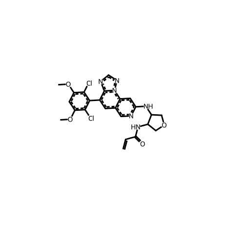 C=CC(=O)NC1COCC1Nc1cc2c(cn1)cc(-c1c(Cl)c(OC)cc(OC)c1Cl)c1ncnn12